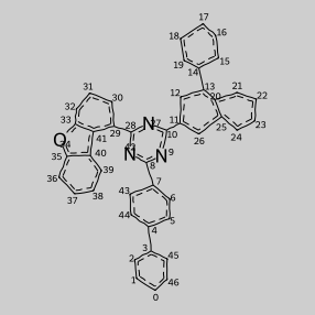 c1ccc(-c2ccc(-c3nc(-c4cc(-c5ccccc5)c5ccccc5c4)nc(-c4cccc5oc6ccccc6c45)n3)cc2)cc1